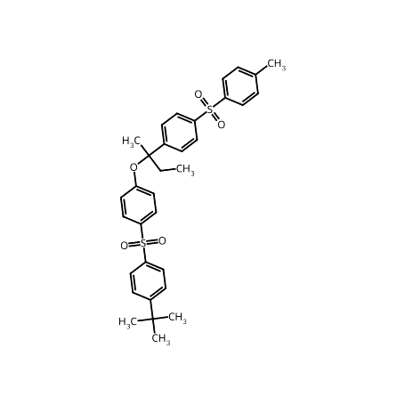 CCC(C)(Oc1ccc(S(=O)(=O)c2ccc(C(C)(C)C)cc2)cc1)c1ccc(S(=O)(=O)c2ccc(C)cc2)cc1